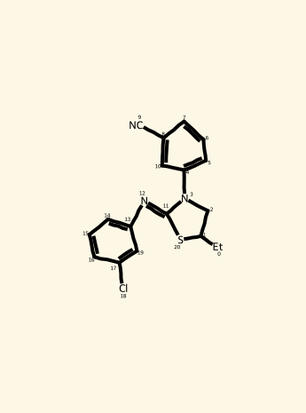 CCC1CN(c2cccc(C#N)c2)C(=Nc2cccc(Cl)c2)S1